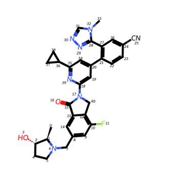 C[C@@H]1[C@@H](O)CCN1Cc1cc(F)c2c(c1)C(=O)N(c1cc(-c3ccc(C#N)cc3-c3nncn3C)cc(C3CC3)n1)C2